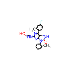 Cc1cc(F)ccc1-c1nc(NCCO)nc2c1CNC(=O)N2c1ccccc1C